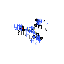 CCCCc1nc2c(N)nc3ccccc3c2n1Cc1ccc(CNC(=S)NCCN(CCNC(=S)NCc2ccc(Cn3c(CCCC)nc4c(N)nc5ccccc5c43)cc2)CCNC(=S)NCc2ccc(Cn3c(CCCC)nc4c(N)nc5ccccc5c43)cc2)cc1